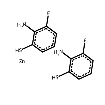 Nc1c(F)cccc1S.Nc1c(F)cccc1S.[Zn]